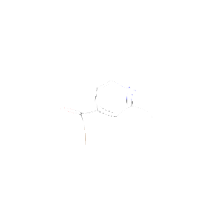 CCCc1cc(C(=O)S)ccn1